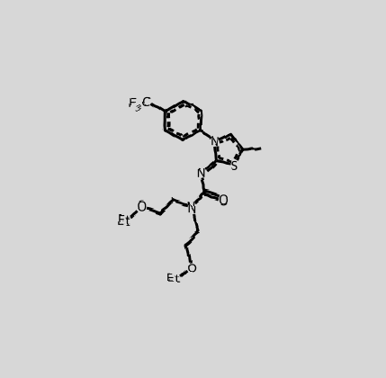 CCOCCN(CCOCC)C(=O)N=c1sc(C)cn1-c1ccc(C(F)(F)F)cc1